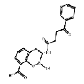 O=C(CCC(=O)c1cccnc1)N[C@H]1Cc2cccc(C(=O)O)c2OB1O